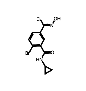 O=C(NC1CC1)c1cc(C(Cl)=NO)ccc1Br